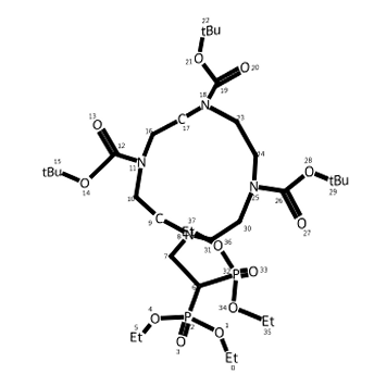 CCOP(=O)(OCC)C(CN1CCN(C(=O)OC(C)(C)C)CCN(C(=O)OC(C)(C)C)CCN(C(=O)OC(C)(C)C)CC1)P(=O)(OCC)OCC